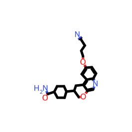 N#CCCCOc1ccc2ncc3c(c2c1)CC(C1CCC(C(N)=O)CC1)CO3